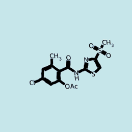 CC(=O)Oc1cc(Cl)cc(C)c1C(=O)Nc1nc(S(C)(=O)=O)cs1